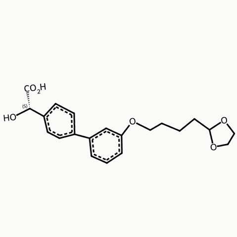 O=C(O)[C@@H](O)c1ccc(-c2cccc(OCCCCC3OCCO3)c2)cc1